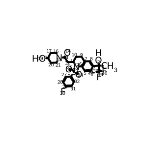 CC(O)(c1ccc2c(c1)CCC(CC(=O)N1CCC(O)CC1)N2S(=O)(=O)c1ccc(F)cc1)C(F)(F)F